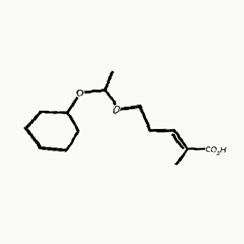 CC(=CCCOC(C)OC1CCCCC1)C(=O)O